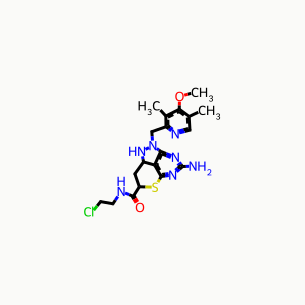 COc1c(C)cnc(CN2NC3CC(C(=O)NCCCl)Sc4nc(N)nc2c43)c1C